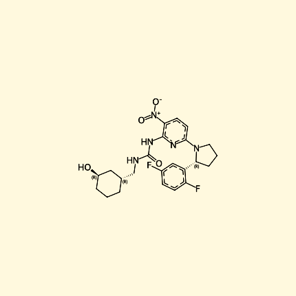 O=C(NC[C@@H]1CCC[C@@H](O)C1)Nc1nc(N2CCC[C@@H]2c2cc(F)ccc2F)ccc1[N+](=O)[O-]